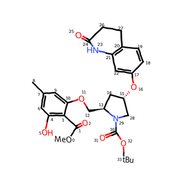 COC(=O)c1c(O)cc(C)cc1OC[C@H]1C[C@H](Oc2ccc3c(c2)NC(=O)CC3)CN1C(=O)OC(C)(C)C